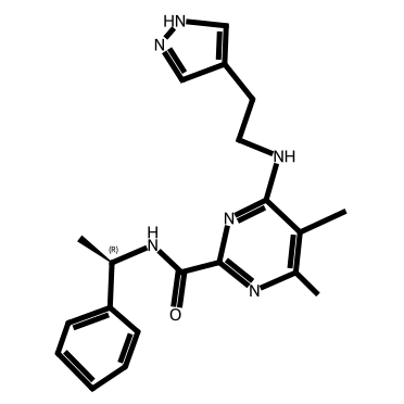 Cc1nc(C(=O)N[C@H](C)c2ccccc2)nc(NCCc2cn[nH]c2)c1C